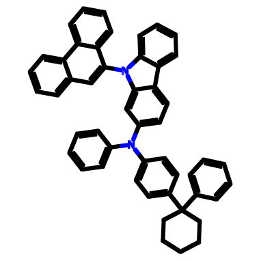 c1ccc(N(c2ccc(C3(c4ccccc4)CCCCC3)cc2)c2ccc3c4ccccc4n(-c4cc5ccccc5c5ccccc45)c3c2)cc1